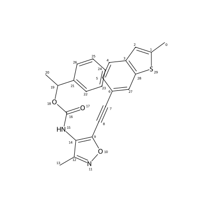 Cc1cc2ccc(C#Cc3onc(C)c3NC(=O)OC(C)c3ccccc3)cc2s1